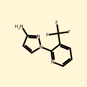 Nc1ccn(-c2ncccc2C(F)(F)F)n1